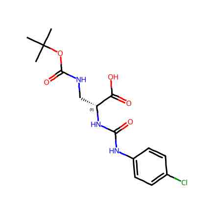 CC(C)(C)OC(=O)NC[C@@H](NC(=O)Nc1ccc(Cl)cc1)C(=O)O